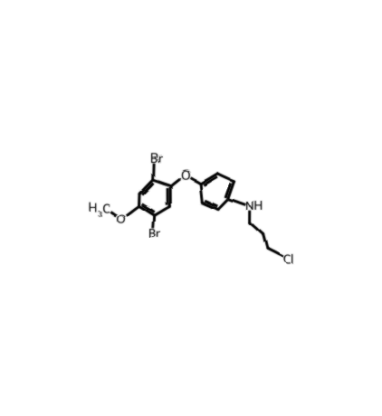 COc1cc(Br)c(Oc2ccc(NCCCCl)cc2)cc1Br